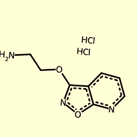 Cl.Cl.NCCOc1noc2ncccc12